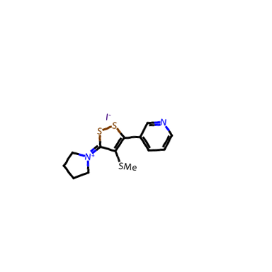 CSc1c(-c2cccnc2)ssc1=[N+]1CCCC1.[I-]